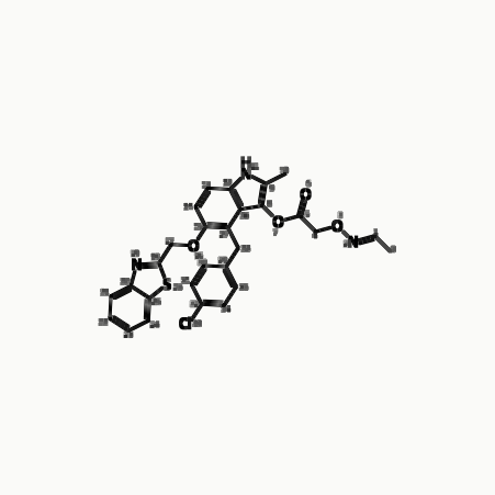 CC=NOCC(=O)Oc1c(C)[nH]c2ccc(OCc3nc4ccccc4s3)c(Cc3ccc(Cl)cc3)c12